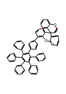 c1ccc(-c2c(-c3ccccc3)c(-c3ccccc3)c(-c3ccc(-c4cccc5c4Oc4ncccc4C54c5ccccc5Oc5ccccc54)cc3)c(-c3ccccc3)c2-c2ccccc2)cc1